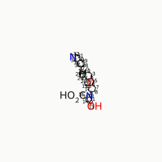 CC12CC=C3C=C4CC[C@@H](N5CC(O)C[C@H]5C(=O)O)C[C@]45CC[C@]3(O5)[C@@H]1CCC2c1ccc2ccncc2c1